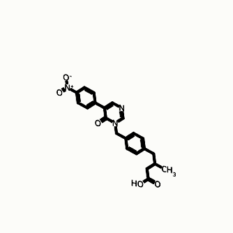 CC(CC(=O)O)Cc1ccc(Cn2cncc(-c3ccc([N+](=O)[O-])cc3)c2=O)cc1